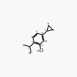 [CH2]C(F)c1ccc(C2CC2)cc1Cl